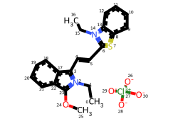 CCn1c(C=Cc2sc3ccccc3[n+]2CC)c2ccccc2c1OC.[O-][Cl+3]([O-])([O-])[O-]